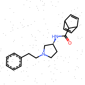 O=C(N[C@H]1CCN(CCc2ccccc2)C1)C1C2C=CC1C=C2